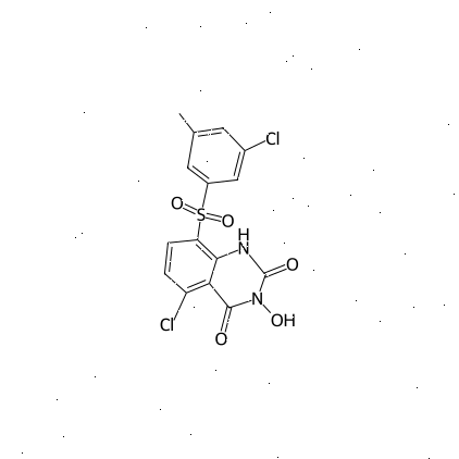 Cc1cc(Cl)cc(S(=O)(=O)c2ccc(Cl)c3c(=O)n(O)c(=O)[nH]c23)c1